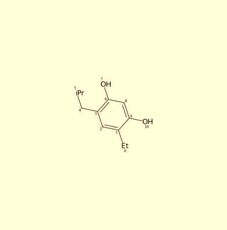 CCc1cc(CC(C)C)c(O)cc1O